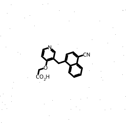 N#Cc1ccc(Cc2cnccc2OCC(=O)O)c2ccccc12